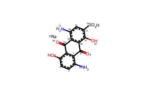 Nc1ccc(O)c2c1C(=O)c1c(O)c(S(=O)(=O)O)cc(N)c1C2=O.[Na]